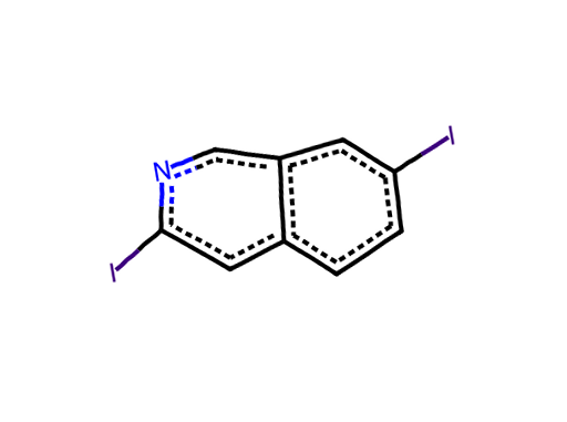 Ic1ccc2cc(I)ncc2c1